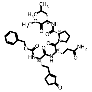 COC(=O)[C@H](CC(C)C)NC(=O)[C@@H]1CCCN1C(=O)[C@H](CCC(N)=O)NC(=O)[C@H](CCC1=CC(=O)CC1)NC(=O)OCc1ccccc1